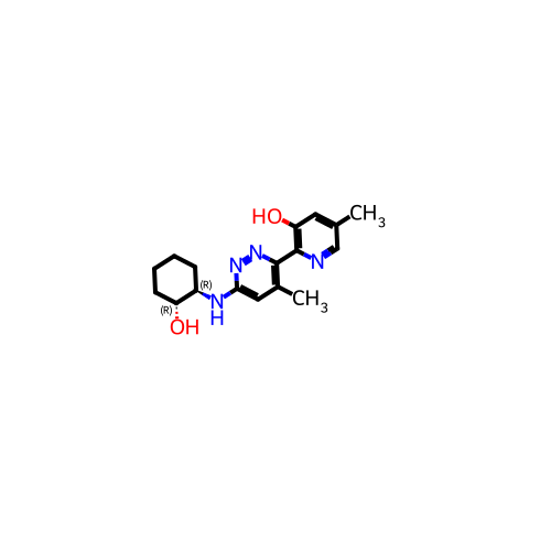 Cc1cnc(-c2nnc(N[C@@H]3CCCC[C@H]3O)cc2C)c(O)c1